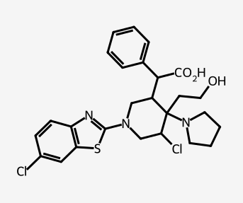 O=C(O)C(c1ccccc1)C1CN(c2nc3ccc(Cl)cc3s2)CC(Cl)C1(CCO)N1CCCC1